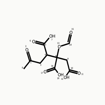 CC(=O)CC(C(=O)O)C(CC(=O)O)(OC=O)C(=O)O